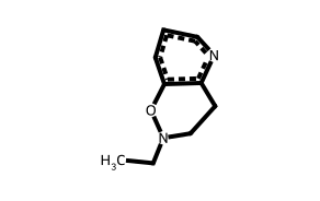 CCN1CCc2ncccc2O1